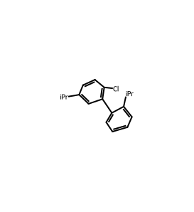 CC(C)c1ccc(Cl)c(-c2ccccc2C(C)C)c1